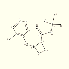 Cc1[c]cccc1ON1CCC1C(=O)OC(C)(C)C